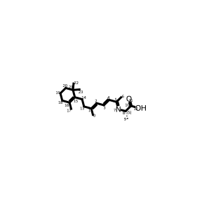 CC(=CC=CC(C)=N[C@@H](C)C(=O)O)CCC1=C(C)CCCC1(C)C